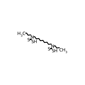 CCCCN(CCCCCCCCCN(CCCC)C(=S)S)C(=S)S